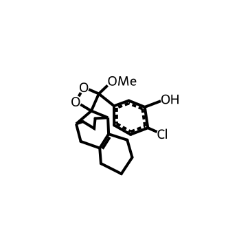 COC1(c2ccc(Cl)c(O)c2)OOC12C1CCCC2C2=C(CCCC2)C1